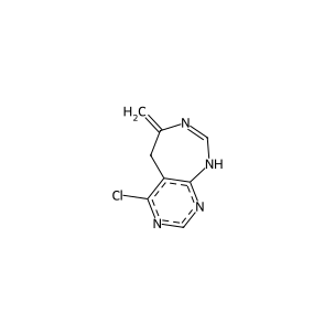 C=C1Cc2c(Cl)ncnc2NC=N1